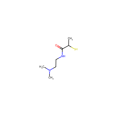 CC(S)C(=O)NCCN(C)C